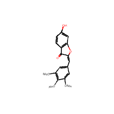 COc1cc(C=C2Oc3cc(O)ccc3C2=O)cc(OC)c1OC